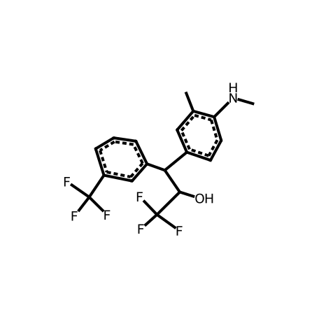 CNc1ccc(C(c2cccc(C(F)(F)F)c2)C(O)C(F)(F)F)cc1C